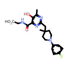 Cc1nc(CC2(C)CCN(c3ccc(F)cc3)CC2)nc(C(=O)NCC(=O)O)c1O